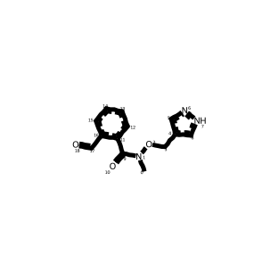 CN(OCc1cn[nH]c1)C(=O)c1ccccc1C=O